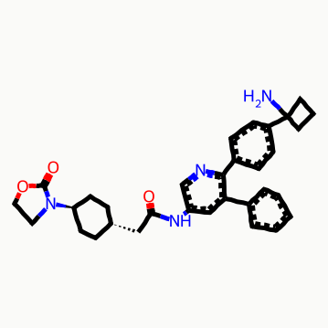 NC1(c2ccc(-c3ncc(NC(=O)C[C@H]4CC[C@H](N5CCOC5=O)CC4)cc3-c3ccccc3)cc2)CCC1